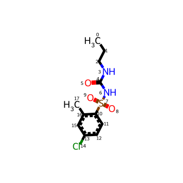 CCCNC(=O)NS(=O)(=O)c1ccc(Cl)cc1C